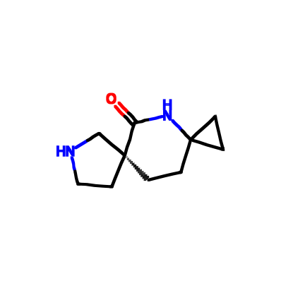 O=C1NC2(CC2)CC[C@@]12CCNC2